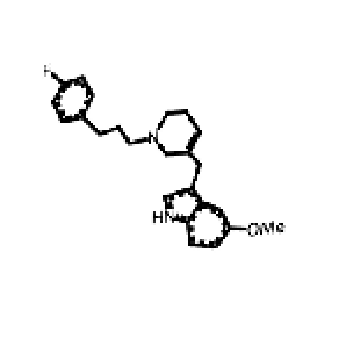 COc1ccc2[nH]cc(CC3=CCCN(CCCc4ccc(F)cc4)C3)c2c1